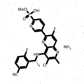 COP(=O)(O)c1ccc(-c2nc3c(N[C@H](C)c4cc(C#N)ccc4F)c(Cl)c(C)nc3cc2F)cn1.N